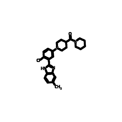 Cc1ccc2[nH]c(-c3cc(N4CCC(C(=O)N5CCCCC5)CC4)ccc3Cl)nc2c1